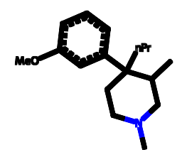 CCCC1(c2cccc(OC)c2)CCN(C)CC1C